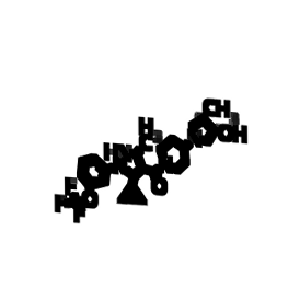 CC1NN(c2cccc(OC(F)(F)F)c2)C(C2CC2)C1C(=O)N1CCC(N2C[C@@H](C)[C@@H](O)C2)CC1